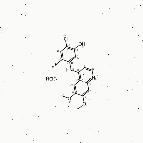 COc1cc2nccc(Nc3cc(O)c(Cl)cc3F)c2cc1OC.Cl